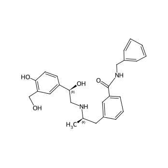 C[C@H](Cc1cccc(C(=O)NCc2ccccc2)c1)NC[C@H](O)c1ccc(O)c(CO)c1